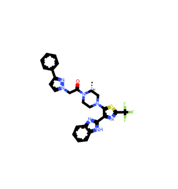 C[C@@H]1CN(c2sc(C(F)(F)F)nc2-c2nc3ccccc3[nH]2)CCN1C(=O)Cn1ccc(-c2ccccc2)n1